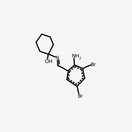 Nc1c(Br)cc(Br)cc1C=NC1(O)CCCCC1